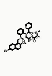 CN[C@@H](C)C(=O)NC(C)CN(C(=O)c1ccccn1)c1ccccc1N(C=O)Cc1c(OC)ccc2cc(Br)ccc12